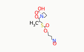 C[C@H](CSC(=O)OCCCCN=O)C(=O)N1CCC[C@H]1C(=O)O